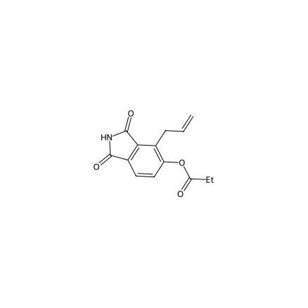 C=CCc1c(OC(=O)CC)ccc2c1C(=O)NC2=O